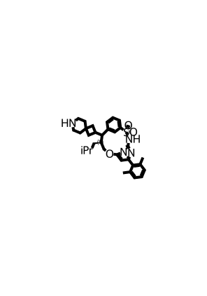 Cc1cccc(C)c1-c1cc2nc(n1)NS(=O)(=O)c1cccc(c1)C(C1CC3(CCNCC3)C1)[C@H](CC(C)C)CO2